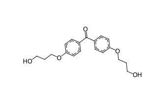 O=C(c1ccc(OCCCO)cc1)c1ccc(OCCCO)cc1